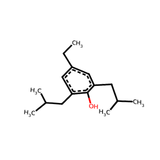 CCc1cc(CC(C)C)c(O)c(CC(C)C)c1